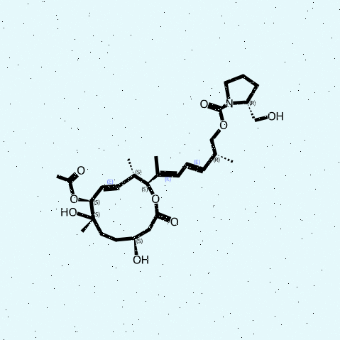 CC(=O)O[C@H]1/C=C/[C@H](C)[C@@H](/C(C)=C/C=C/[C@@H](C)COC(=O)N2CCC[C@@H]2CO)OC(=O)C[C@@H](O)CC[C@]1(C)O